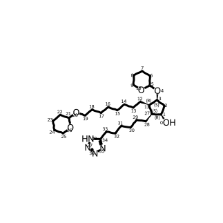 O[C@@H]1C[C@H](OC2CCCCO2)[C@H](CCCCCCCCOC2CCCCO2)[C@@H]1CCCCCCc1nnn[nH]1